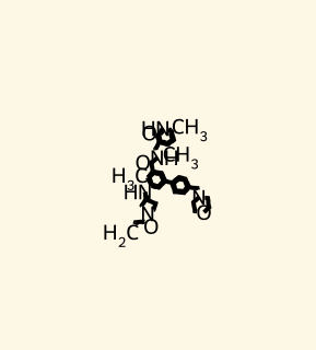 C=CC(=O)N1CCC(Nc2cc(-c3ccc(CN4CCOCC4)cc3)cc(C(=O)NCc3c(C)cc(C)[nH]c3=O)c2C)C1